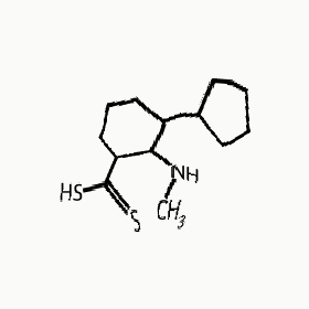 CNC1C(C(=S)S)CCCC1C1CCCC1